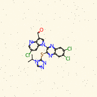 CC(C)n1cnnc1Sc1nc2cc(Cl)c(Cl)cc2nc1-n1cc(C=O)c2ncc(Cl)cc21